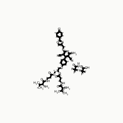 CC(C)[C@H](N)C(=O)NCCC(=O)OC[C@H](COc1ccc(-c2c(C#N)c(N)nc(SCc3coc(-c4ccc(Cl)cc4)n3)c2C#N)cc1)OC(=O)CCNC(=O)[C@@H](N)C(C)C.O=C(O)C(F)(F)F.O=C(O)C(F)(F)F